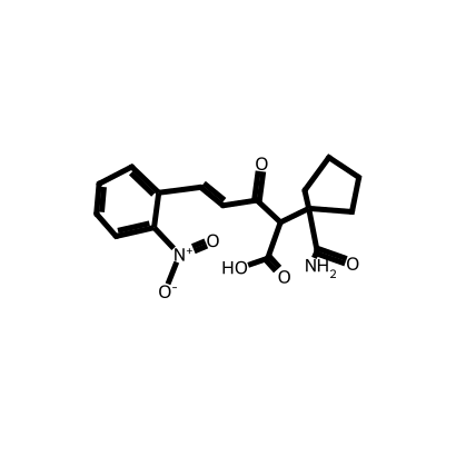 NC(=O)C1(C(C(=O)O)C(=O)C=Cc2ccccc2[N+](=O)[O-])CCCC1